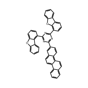 c1ccc2c(c1)ccc1c3ccc(-c4nc(-c5cccc6c5oc5ccccc56)nc(-c5cccc6oc7ccccc7c56)n4)cc3ccc21